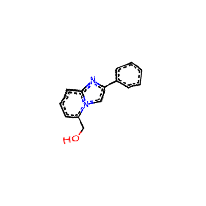 OCc1cccc2nc(-c3ccccc3)cn12